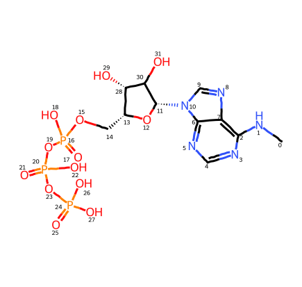 CNc1ncnc2c1ncn2[C@@H]1O[C@H](COP(=O)(O)OP(=O)(O)OP(=O)(O)O)[C@H](O)C1O